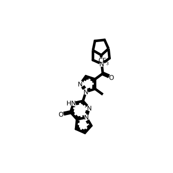 Cc1c(C(=O)N2CC3CCC(C2)C3C(F)(F)F)cnn1-c1nn2cccc2c(=O)[nH]1